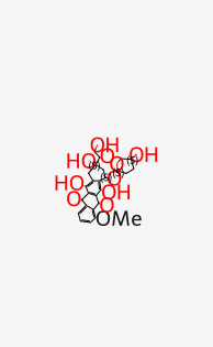 COc1cccc2c1C(=O)c1c(O)c3c(c(O)c1C2=O)C[C@@](O)(C(=O)CO)C[C@@H]3O[C@H]1CC[C@H](O)CO1